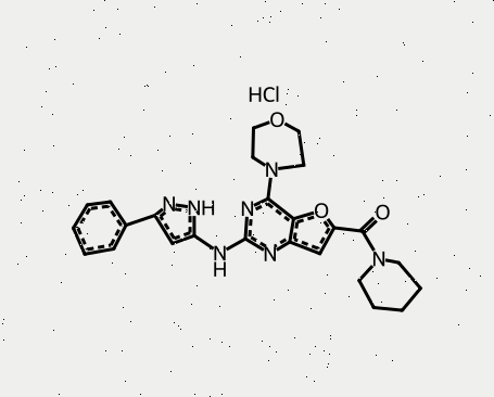 Cl.O=C(c1cc2nc(Nc3cc(-c4ccccc4)n[nH]3)nc(N3CCOCC3)c2o1)N1CCCCC1